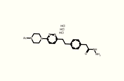 CC(=O)N1CCN(c2ccc(CCc3ccc(CC(=O)NN)cc3)nn2)CC1.Cl.Cl.Cl